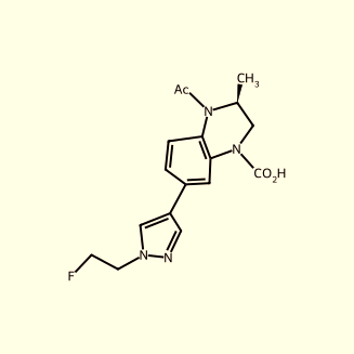 CC(=O)N1c2ccc(-c3cnn(CCF)c3)cc2N(C(=O)O)C[C@@H]1C